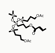 CC=CC(=O)OCCC[Si](O[Si](C)(C)C)(O[Si](C)(C)CCCOC(C)=O)O[Si](C)(C)CCCOC(C)=O